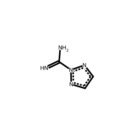 N=C(N)n1nccn1